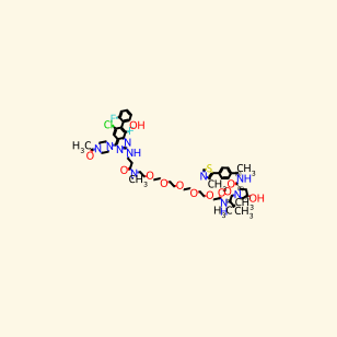 CC(=O)N1CCN(c2nc(NCCC(=O)N(C)CCOCCOCCOCCOCCOCC(=O)N[C@H](C(=O)N3C[C@H](O)C[C@H]3C(=O)N[C@@H](C)c3ccc(-c4scnc4C)cc3)C(C)(C)C)nc3c(F)c(-c4c(O)cccc4F)c(Cl)cc23)CC1